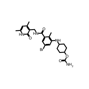 Cc1cc(C)c(CNC(=O)c2cc(Br)cc(NC3CCC(OC(N)=O)CC3)c2C)c(=O)[nH]1